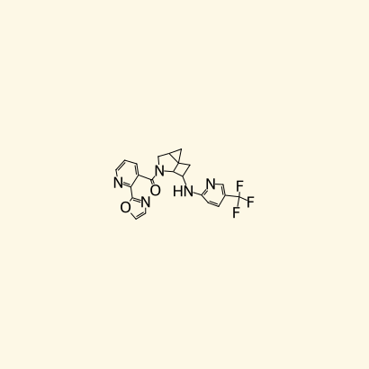 O=C(c1cccnc1-c1ncco1)N1CC2CC23CC(Nc2ccc(C(F)(F)F)cn2)C13